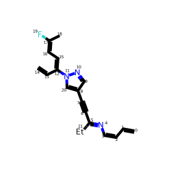 C=C/C=C\N=C(\C#Cc1cnn(/C(C=C)=C/C=C(\C)F)c1)CC